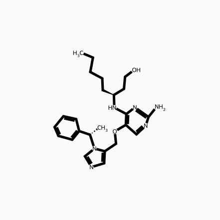 CCCCC[C@@H](CCO)Nc1nc(N)ncc1OCc1cncn1[C@@H](C)c1ccccc1